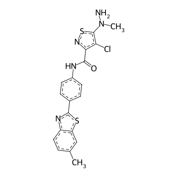 Cc1ccc2nc(-c3ccc(NC(=O)c4nsc(N(C)N)c4Cl)cc3)sc2c1